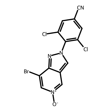 N#Cc1cc(Cl)c(-n2cc3c[n+]([O-])cc(Br)c3n2)c(Cl)c1